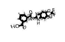 O=C(O)c1cccc(C(=O)Nc2nc3cc4c(cc3[nH]2)OC(F)(F)O4)c1